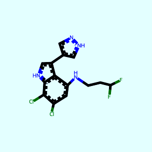 FC(F)CCNc1cc(Cl)c(Cl)c2[nH]cc(-c3cn[nH]c3)c12